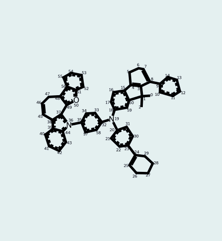 CC1(C)C2=C(CCC=C2c2ccccc2)c2ccc(N(c3ccc(C4=CCCCC4)cc3)c3ccc(-n4c5c(c6ccccc64)C=CCc4c-5oc5ccccc45)cc3)cc21